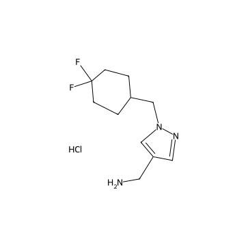 Cl.NCc1cnn(CC2CCC(F)(F)CC2)c1